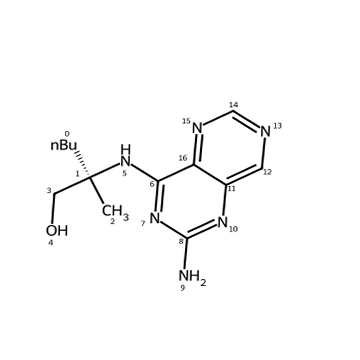 CCCC[C@](C)(CO)Nc1nc(N)nc2cncnc12